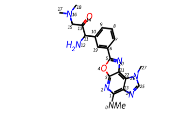 CNc1nc2oc(-c3cccc(C(N)C(=O)CN(C)C)c3)nc2c2c1ncn2C